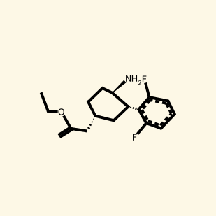 C=C(C[C@@H]1CC[C@@H](N)[C@H](c2c(F)cccc2F)C1)OCC